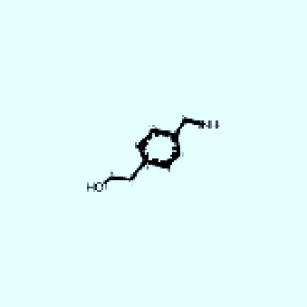 [NH]Cc1ccc(CCO)cc1